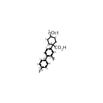 CCCCCCCCC1CCC(C(=O)O)(c2ccc(-c3ccc(F)cc3)c(F)c2)CC1